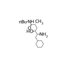 CCCCNC(=O)[C@H](C)C[C@H](O)[C@@H](N)CC1CCCCC1